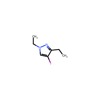 CCc1nn(CC)cc1I